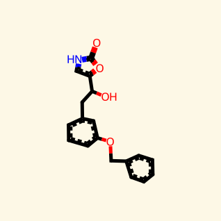 O=c1[nH]cc(C(O)Cc2cccc(OCc3ccccc3)c2)o1